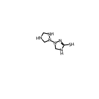 SC1=NN(N2CNCN2)CN1